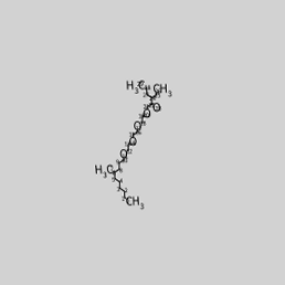 CCCCCCC(C)CCCOCCOCCOCCOCC(=O)C(CC)CCC